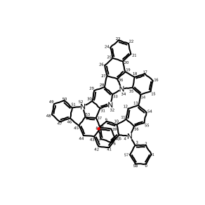 c1ccc(-n2c3ccccc3c3cc(-c4cccc5c6c7ccccc7cc7c8cc9c(nc8n(c45)c76)c4c5ccccc5cc5c6ccccc6n9c54)ccc32)cc1